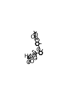 COC[C@H]1N(c2nc(-c3cccc(C)c3OCc3ccc4c(c3C)CCN(C(=O)OC(C)(C)C)C4)cs2)C[C@@H]2C[C@@]21C(=O)OC